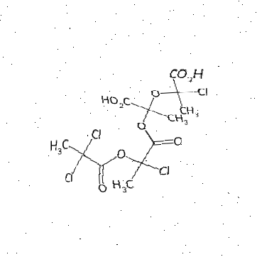 CC(Cl)(Cl)C(=O)OC(C)(Cl)C(=O)OC(C)(OC(C)(Cl)C(=O)O)C(=O)O